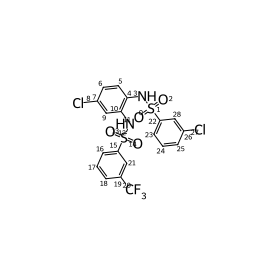 O=S(=O)(Nc1ccc(Cl)cc1NS(=O)(=O)c1cccc(C(F)(F)F)c1)c1cccc(Cl)c1